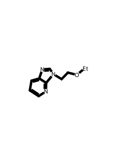 CCOCCn1cnc2cccnc21